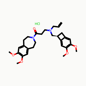 C=CCN(CCC(=O)N1CCc2cc(OC)c(OC)cc2CC1)C[C@H]1Cc2cc(OC)c(OC)cc21.Cl